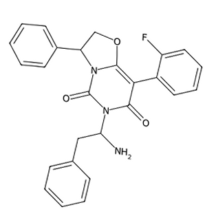 NC(Cc1ccccc1)n1c(=O)c(-c2ccccc2F)c2n(c1=O)C(c1ccccc1)CO2